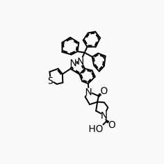 O=C(O)N1CCC2(CCN(c3ccc4c(c3)c(C3=CCSCC3)nn4C(c3ccccc3)(c3ccccc3)c3ccccc3)C2=O)C1